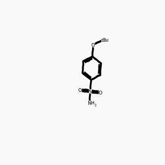 CC(C)(C)Oc1ccc(S(N)(=O)=O)cc1